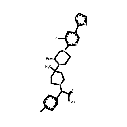 CC[C@H]1CN(c2ncc(-c3ncc[nH]3)cc2Cl)CCN1C1(C)CCN(C(C(=O)OC)c2ccc(Cl)cc2)CC1